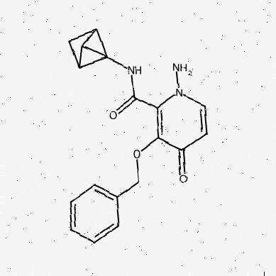 Nn1ccc(=O)c(OCc2ccccc2)c1C(=O)NC1C2CC1C2